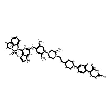 COc1cc(N2CCN(CCC3CCN(c4ccc(C5CCC(=O)NC5=O)c(F)c4)CC3)[C@H](C)C2)c(C)cc1Nc1nc(N2c3cccc4c3N(CC4)S2(=O)=O)c2cc[nH]c2n1